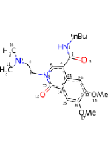 CCCCNC(=O)c1cn(CCN(C)C)c(=O)c2cc(OC)c(OC)cc12